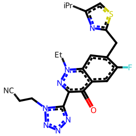 CCn1nc(-c2nnnn2CCC#N)c(=O)c2cc(F)c(Cc3nc(C(C)C)cs3)cc21